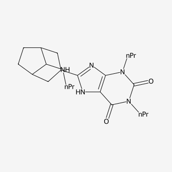 CCCNC1C2CCC1CC(c1nc3c([nH]1)c(=O)n(CCC)c(=O)n3CCC)C2